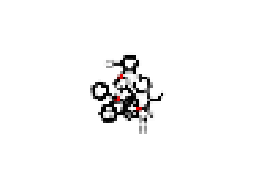 CCC(c1n[nH]c2cc(OC)c(OC)c(Cc3nccn3C(c3ccccc3)(c3ccccc3)c3ccccc3)c12)N1CCN(c2cccc(Cl)c2C)CC1